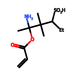 C=CC(=O)OC(C)(N)C(C)(C)C(CC)S(=O)(=O)O